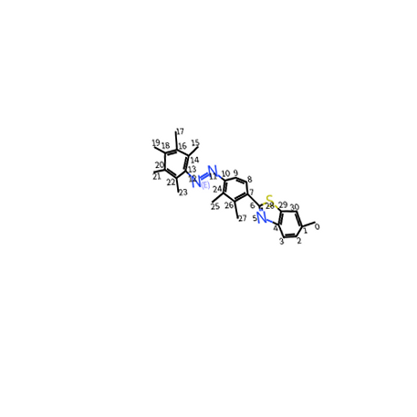 Cc1ccc2nc(-c3ccc(/N=N/c4c(C)c(C)c(C)c(C)c4C)c(C)c3C)sc2c1